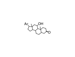 CC(=O)C1CCC2C3CCC4CC(=O)CCC4(C)C3C(O)CC12C